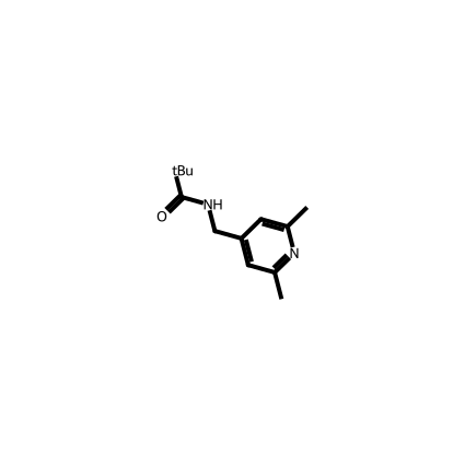 Cc1cc(CNC(=O)C(C)(C)C)cc(C)n1